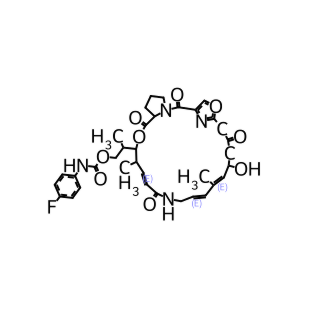 CC1=C\C(O)CC(=O)Cc2nc(co2)C(=O)N2CCCC2C(=O)OC(C(C)COC(=O)Nc2ccc(F)cc2)C(C)/C=C/C(=O)NC\C=C\1